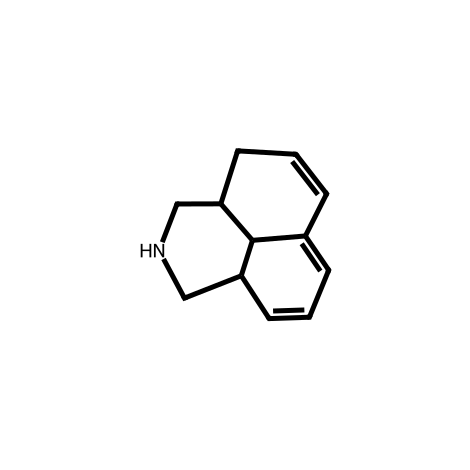 C1=CC2CNCC3CC=CC(=C1)C23